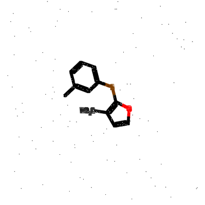 Cc1cccc(Sc2occc2C(=O)O)c1